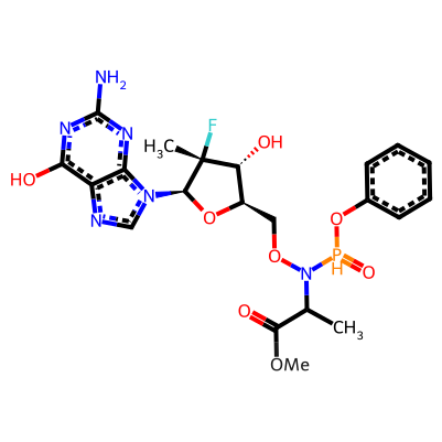 COC(=O)C(C)N(OC[C@H]1O[C@@H](n2cnc3c(O)nc(N)nc32)[C@](C)(F)[C@@H]1O)[PH](=O)Oc1ccccc1